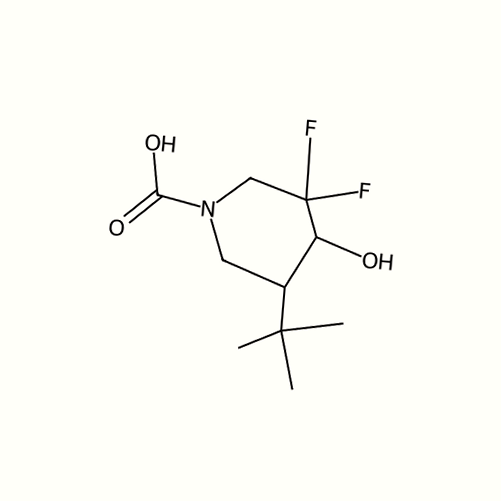 CC(C)(C)C1CN(C(=O)O)CC(F)(F)C1O